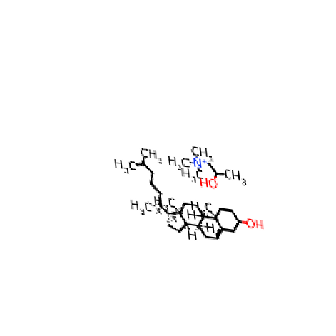 CC(C)CCC[C@@H](C)[C@H]1CC[C@H]2[C@@H]3CC=C4CC(O)CC[C@]4(C)[C@H]3CC[C@]12C.CC(O)C[N+](C)(C)C